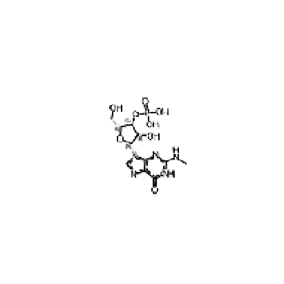 CNc1nc2c(ncn2[C@@H]2O[C@H](CO)[C@@H](OP(=O)(O)O)[C@H]2O)c(=O)[nH]1